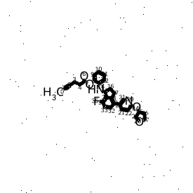 CC#CCCC(=O)Oc1ccccc1N[C@@H]1CCc2c(-c3ccc(O[C@@H]4CCOC4)nc3)ccc(F)c21